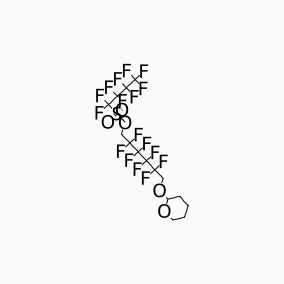 O=S(=O)(OCC(F)(F)C(F)(F)C(F)(F)C(F)(F)COC1CCCCO1)C(F)(F)C(F)(F)C(F)(F)C(F)(F)F